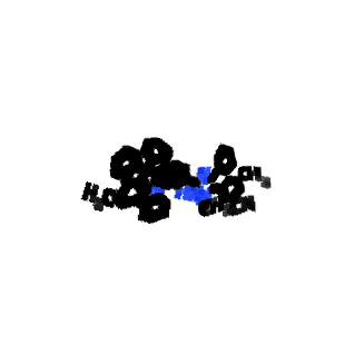 CC1C=C(C#N)C=C(CN(C)N/C(=N\Cc2ccccc2)c2cccc(-n3c4c(c5ccccc53)=CC(C)C3C=4C(c4ccccc4)(c4ccccc4)c4ccccc43)c2)C1